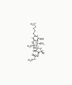 CCCCCc1cc(O)c2c(c1)OC(C)(C)C(C1CC(=O)N(OC(=O)CC)C1=O)C2C